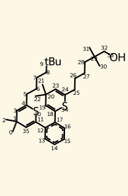 CC1(C)C=C(CCCCC(C)(C)C)SC(c2ccccc2C2=CC(C)(C)C=C(CCCCC(C)(C)CO)S2)=C1